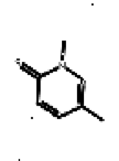 Cc1ccc(=S)n(C)n1